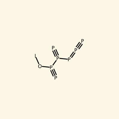 P#P=PP(#P)P(#P)OI